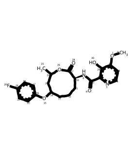 COc1ccnc(C(=O)N[C@H]2CCCC(Oc3ccc(F)cc3)CC(C)OC2=O)c1O